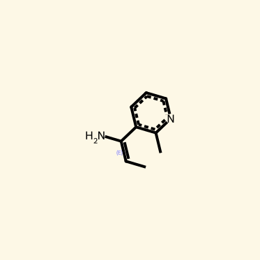 C/C=C(/N)c1cccnc1C